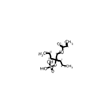 C=CC(=O)OCC(CCC)(CCC)OP(=O)(O)O